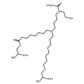 CCCCCCCC(=O)N(CCO)CCCCN(CCCCCCCCOCC(CCCC)CCCCCC)CCCCCCCC(=O)OCC(CCCC)CCCCCC